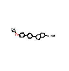 C=CCOc1ccc(-c2ccc(C3CCC4CC(CCCCC)CCC4C3)cc2)cc1